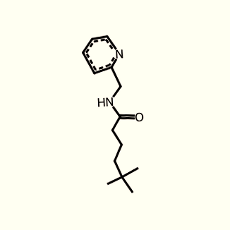 CC(C)(C)CCCC(=O)NCc1ccccn1